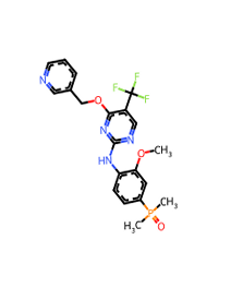 COc1cc(P(C)(C)=O)ccc1Nc1ncc(C(F)(F)F)c(OCc2cccnc2)n1